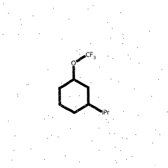 CC(C)C1CCCC(OC(F)(F)F)C1